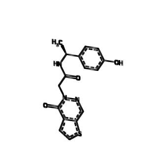 C[C@H](NC(=O)Cn1ncc2sccc2c1=O)c1ccc(O)cc1